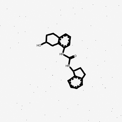 O=C(Nc1cccc2c1CC(O)CC2)NC1CCc2ccccc21